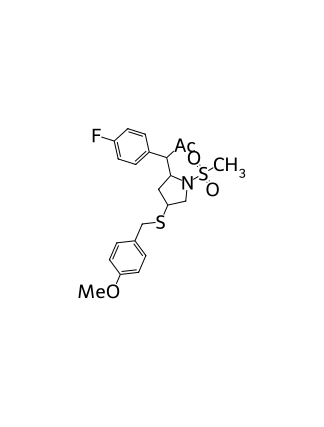 COc1ccc(CSC2CC(C(C(C)=O)c3ccc(F)cc3)N(S(C)(=O)=O)C2)cc1